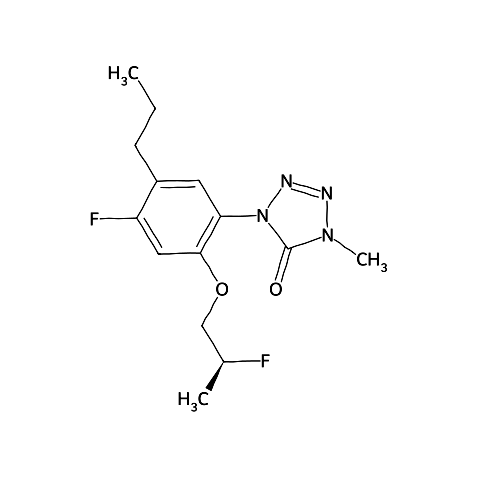 CCCc1cc(-n2nnn(C)c2=O)c(OC[C@H](C)F)cc1F